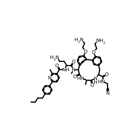 CCCCc1ccc(-c2ccc(C(=O)NC(CCN)C(=O)N(C)C3C(=O)NC(C)C(=O)NC(C(=O)NCC#N)Cc4ccc(OCCN)c(c4)-c4cc3ccc4OCCN)c(C)n2)cc1